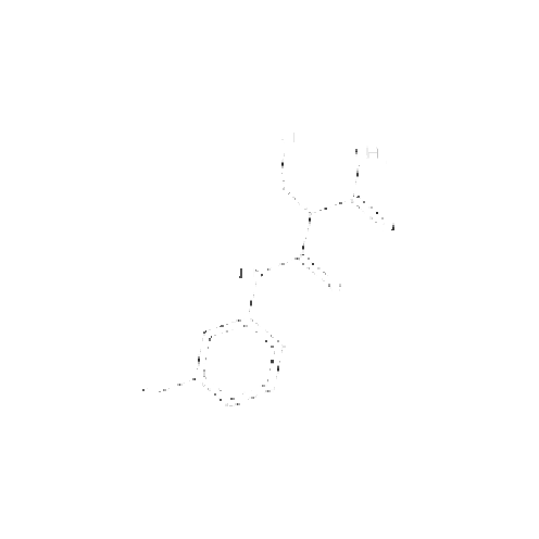 COC(C(C)=O)C(=O)Nc1cccc(Cl)c1